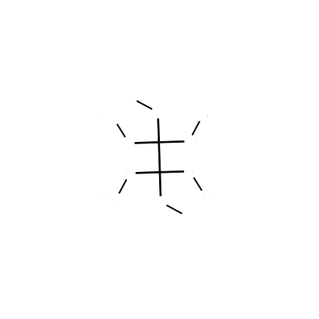 COC(OC)(OC)C(OC)(OC)[SiH2][SiH3]